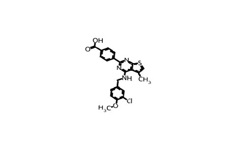 COc1ccc(CNc2nc(-c3ccc(C(=O)O)cc3)nc3scc(C)c23)cc1Cl